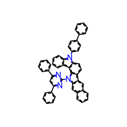 c1ccc(-c2ccc(-n3c4ccccc4c4c3ccc3c5cc6ccccc6cc5n(-c5nc(-c6ccccc6)cc(-c6ccccc6)n5)c34)cc2)cc1